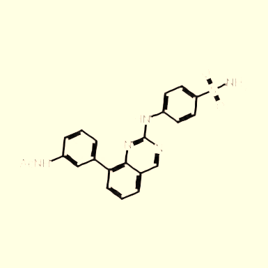 CC(=O)Nc1cccc(-c2cccc3cnc(Nc4ccc(S(N)(=O)=O)cc4)nc23)c1